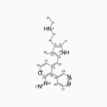 CCNCCc1c(C)[nH]c(C=C2C=COC(N=[N])=C2c2ccnnc2)c1C